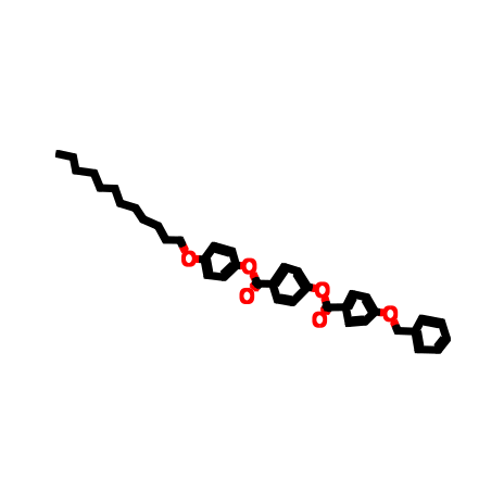 CCCCCCCCCCCCOc1ccc(OC(=O)c2ccc(OC(=O)c3ccc(OCc4ccccc4)cc3)cc2)cc1